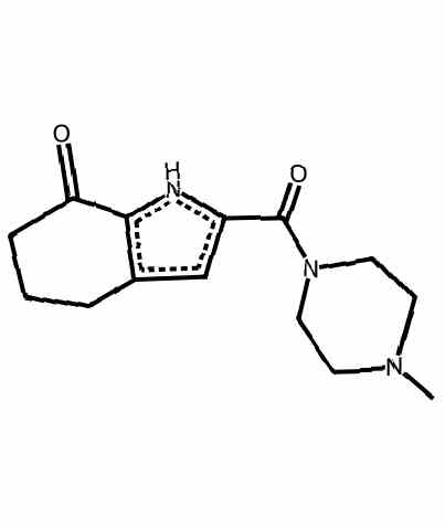 CN1CCN(C(=O)c2cc3c([nH]2)C(=O)CCC3)CC1